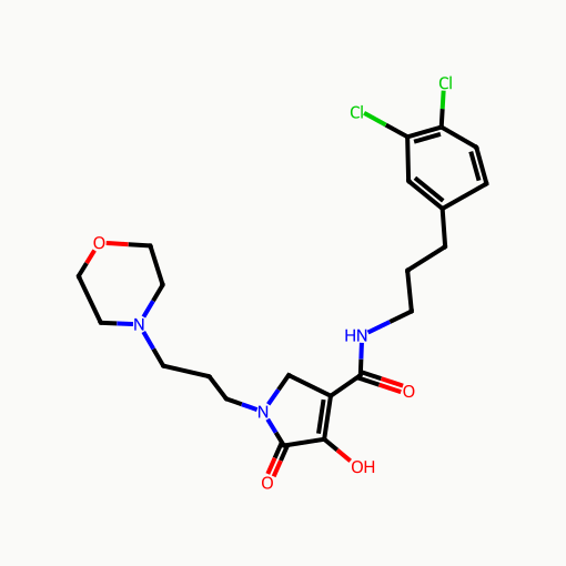 O=C(NCCCc1ccc(Cl)c(Cl)c1)C1=C(O)C(=O)N(CCCN2CCOCC2)C1